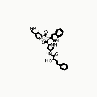 NCC1CN[C@H](C(=O)N(C(=O)[C@@H]2C[C@@H](NC(=O)[C@H](O)CCc3ccccc3)CN2)c2cnc3ccccc3c2)C1